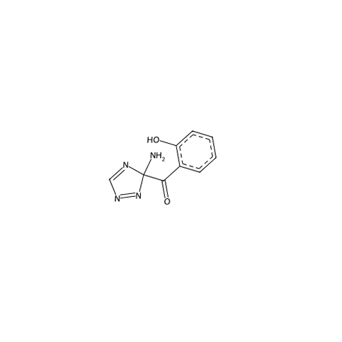 NC1(C(=O)c2ccccc2O)N=CN=N1